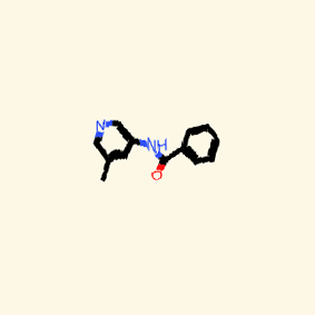 Cc1cncc(NC(=O)c2ccccc2)c1